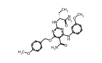 CC[C@@H](Nc1nc(Nc2cccc(OC)c2)c(C(N)=O)c(OCc2ccc(OC)cc2)n1)C(N)=O